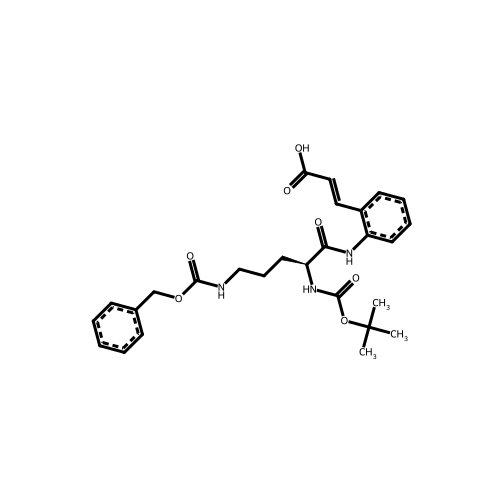 CC(C)(C)OC(=O)N[C@@H](CCCNC(=O)OCc1ccccc1)C(=O)Nc1ccccc1C=CC(=O)O